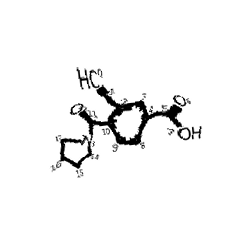 C#Cc1cc(C(=O)O)ccc1C(=O)N1CCCC1